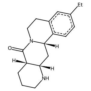 CCc1ccc2c(c1)CCN1C(=O)[C@H]3CCCN[C@H]3C[C@@H]21